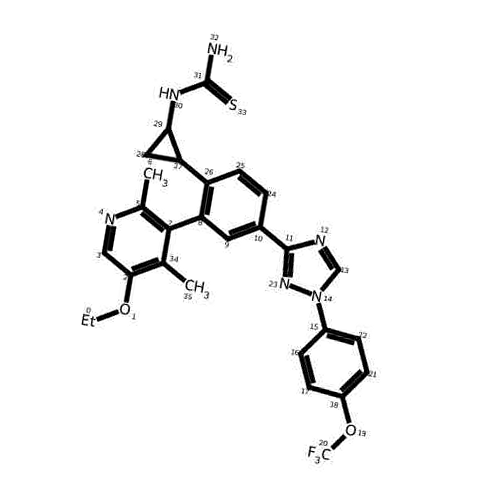 CCOc1cnc(C)c(-c2cc(-c3ncn(-c4ccc(OC(F)(F)F)cc4)n3)ccc2C2CC2NC(N)=S)c1C